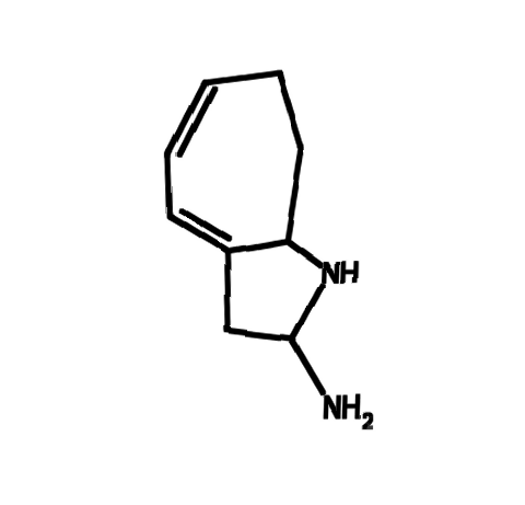 NC1CC2=CC=CCCC2N1